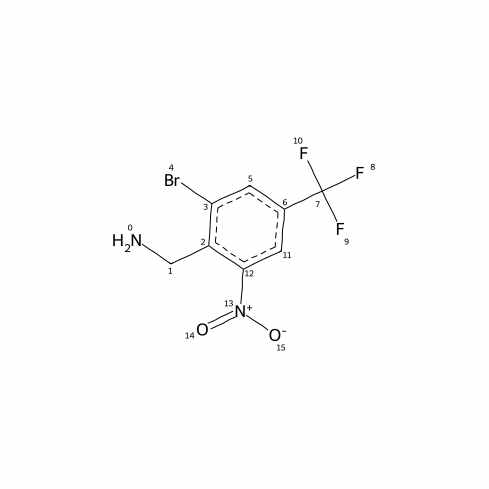 NCc1c(Br)cc(C(F)(F)F)cc1[N+](=O)[O-]